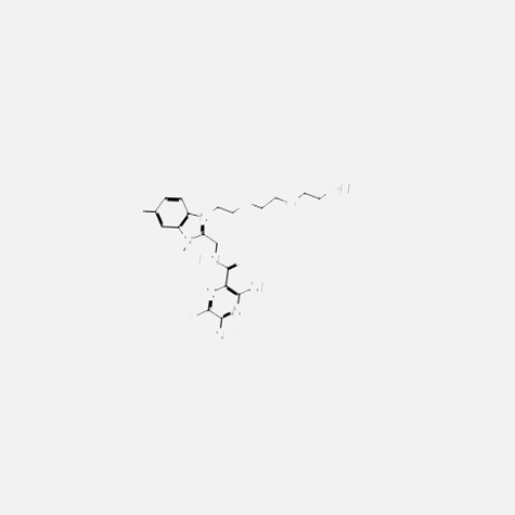 CCn1c(CNC(=O)c2nc(Br)c(N)nc2N)[n+](CCOCCOCCO)c2ccc(O)cc21